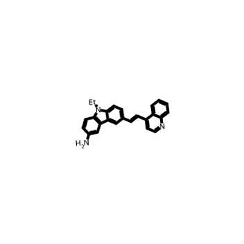 CCn1c2ccc(N)cc2c2cc(/C=C/c3ccnc4ccccc34)ccc21